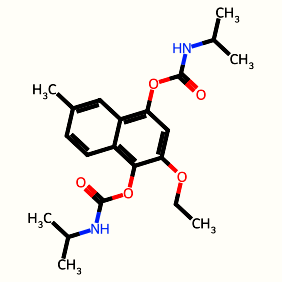 CCOc1cc(OC(=O)NC(C)C)c2cc(C)ccc2c1OC(=O)NC(C)C